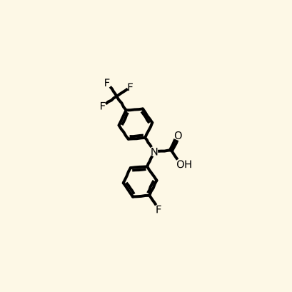 O=C(O)N(c1ccc(C(F)(F)F)cc1)c1cccc(F)c1